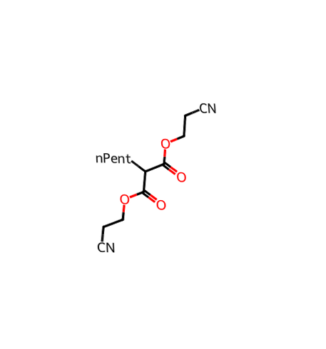 CCCCCC(C(=O)OCCC#N)C(=O)OCCC#N